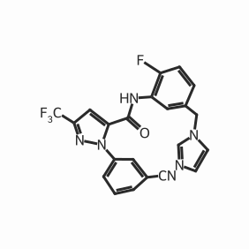 N#Cc1cccc(-n2nc(C(F)(F)F)cc2C(=O)Nc2cc(Cn3ccnc3)ccc2F)c1